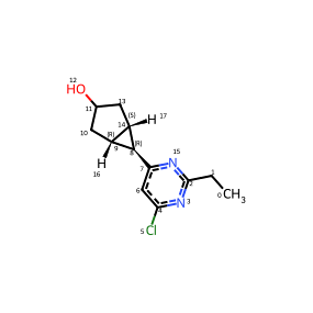 CCc1nc(Cl)cc([C@H]2[C@@H]3CC(O)C[C@@H]32)n1